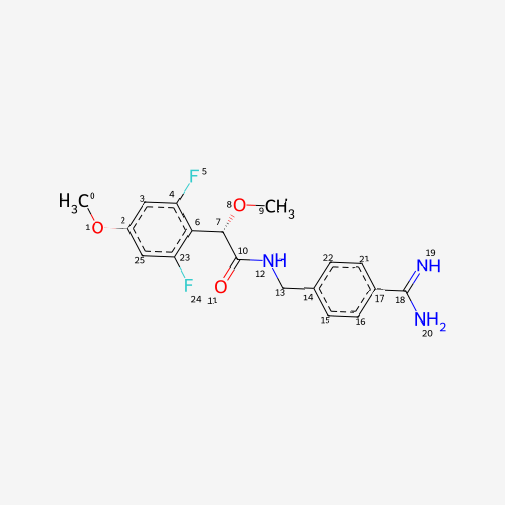 COc1cc(F)c([C@H](OC)C(=O)NCc2ccc(C(=N)N)cc2)c(F)c1